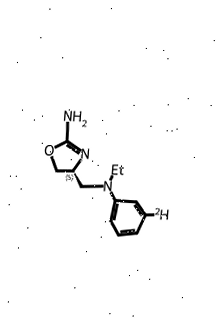 [2H]c1cccc(N(CC)C[C@H]2COC(N)=N2)c1